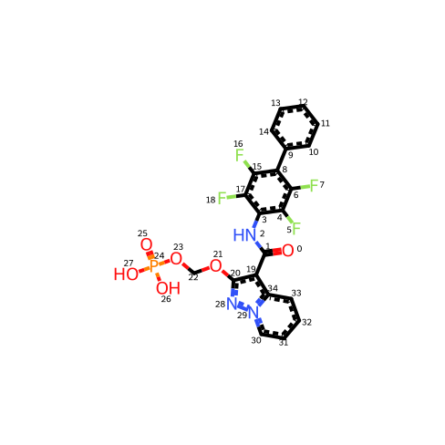 O=C(Nc1c(F)c(F)c(-c2ccccc2)c(F)c1F)c1c(OCOP(=O)(O)O)nn2ccccc12